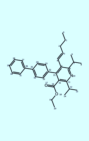 CCCC=Cc1c(C(C)C)nc(C(C)C)c(C(=O)OCC)c1-c1ccc(-c2ccccc2)cc1